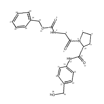 O=C(NCC(=O)N1CCCC1C(=O)Nc1ccc(CO)cc1)OCc1ccccc1